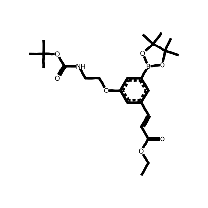 CCOC(=O)/C=C/c1cc(OCCNC(=O)OC(C)(C)C)cc(B2OC(C)(C)C(C)(C)O2)c1